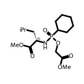 COC(=O)COP(=O)(N[C@@H](CC(C)C)C(=O)OC)C1CCCCC1